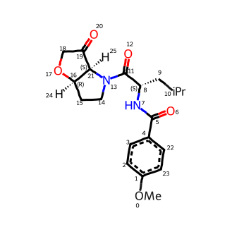 COc1ccc(C(=O)N[C@@H](CC(C)C)C(=O)N2CC[C@H]3OCC(=O)[C@H]32)cc1